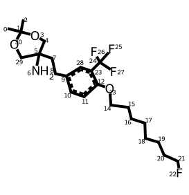 CC1(C)OCC(N)(CCc2ccc(OCCCCCCCCF)c(C(F)(F)F)c2)CO1